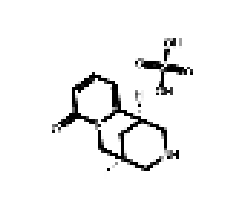 O=S(=O)(O)O.O=c1cccc2n1C[C@@H]1CNC[C@H]2C1